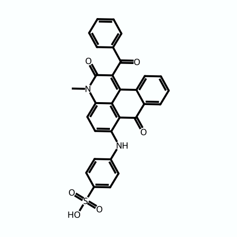 Cn1c(=O)c(C(=O)c2ccccc2)c2c3c(c(Nc4ccc(S(=O)(=O)O)cc4)ccc31)C(=O)c1ccccc1-2